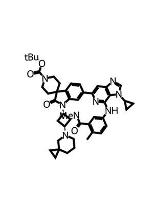 CNC(=O)c1cc(Nc2nc(-c3ccc4c(c3)N([C@H]3C[C@@H](N5CCCC6(CC6)C5)C3)C(=O)C43CCN(C(=O)OC(C)(C)C)CC3)cc3ncn(C4CC4)c23)ccc1C